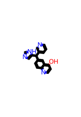 Oc1ccnc2ccc(C(c3cccnc3)c3cnc[nH]3)cc12